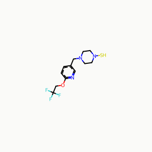 FC(F)(F)COc1ccc(CN2CCN(S)CC2)cn1